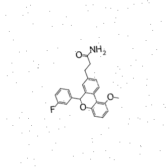 COc1cccc2c1-c1ccc(CCC(N)=O)cc1C(c1cccc(F)c1)O2